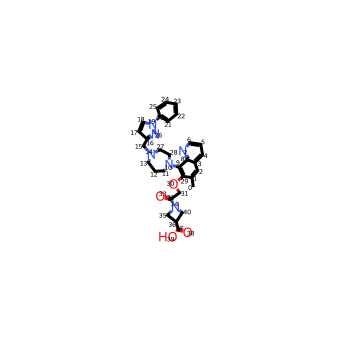 Cc1cc2cccnc2c(N2CCCN(Cc3ccn(-c4ccccc4)n3)CC2)c1OCC(=O)N1CC(C(=O)O)C1